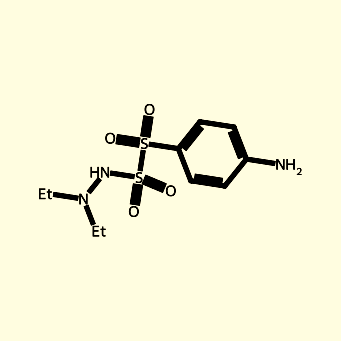 CCN(CC)NS(=O)(=O)S(=O)(=O)c1ccc(N)cc1